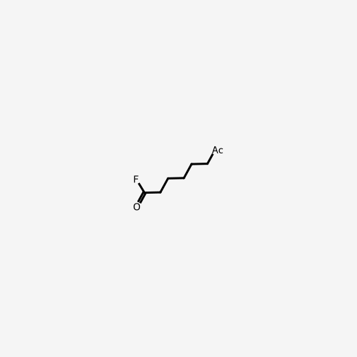 CC(=O)CCCCCC(=O)F